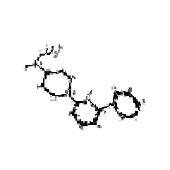 CN(C(=O)O)C1CCN(c2cccc(-c3ccccc3)n2)CC1